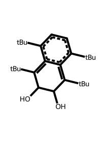 CC(C)(C)C1=c2c(C(C)(C)C)ccc(C(C)(C)C)c2=C(C(C)(C)C)C(O)C1O